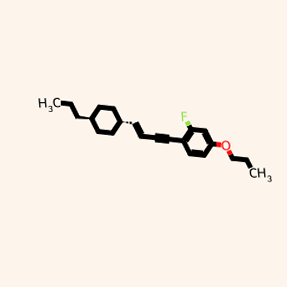 CCCOc1ccc(C#CC=C[C@H]2CC[C@H](CCC)CC2)c(F)c1